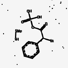 CCC(C(=O)OP(=O)(O)O)c1ccccc1.CSS